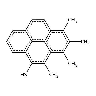 Cc1c(C)c2ccc3cccc4c(S)c(C)c(c1C)c2c34